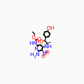 CCOC(=O)Nc1cc(N[C@H](C)C(O)c2ccc(O)cc2)c([N+](=O)[O-])c(N)n1